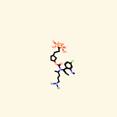 C=Nc1cc(Cl)ccc1/C(=C\C)N(C(=O)OC1CCC(CCC(P(=O)(O)O)P(=O)(O)O)C1)C(C)CCCN(CC)CC